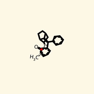 COC(=O)OC1CC2CCC1C2=C(c1ccccc1)c1ccccc1